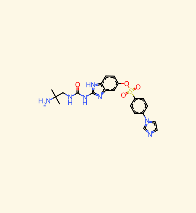 CC(C)(N)CNC(=O)Nc1nc2cc(OS(=O)(=O)c3ccc(-n4ccnc4)cc3)ccc2[nH]1